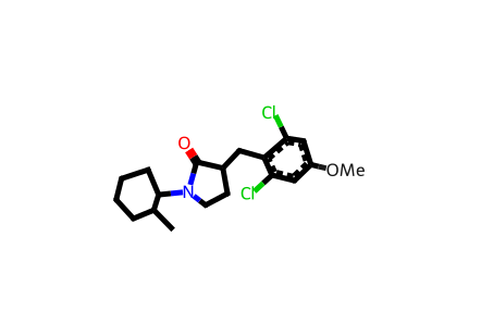 COc1cc(Cl)c(CC2CCN(C3CCCCC3C)C2=O)c(Cl)c1